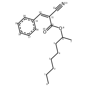 CCCCCCC(C)OC(=O)C(C#N)=Cc1ccccc1